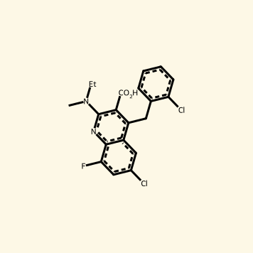 CCN(C)c1nc2c(F)cc(Cl)cc2c(Cc2ccccc2Cl)c1C(=O)O